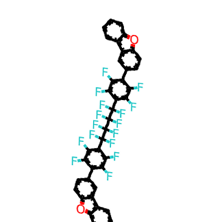 Fc1c(F)c(C(F)(F)C(F)(F)C(F)(F)C(F)(F)c2c(F)c(F)c(-c3ccc4oc5ccccc5c4c3)c(F)c2F)c(F)c(F)c1-c1ccc2oc3ccccc3c2c1